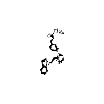 COC(=O)C=Cc1ccc([C@@H]2CCCN2CCn2ccc3ccccc32)cc1